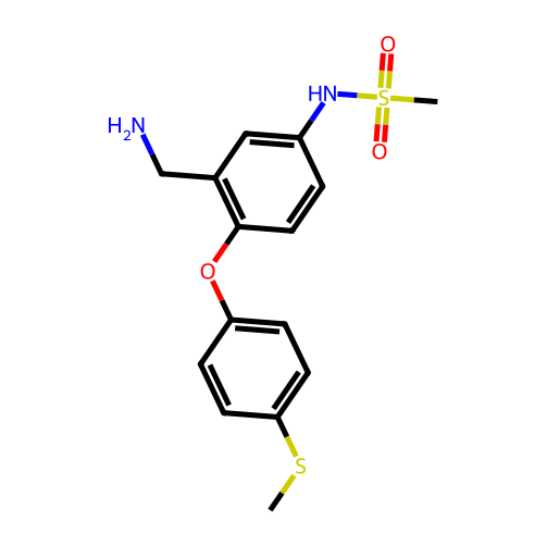 CSc1ccc(Oc2ccc(NS(C)(=O)=O)cc2CN)cc1